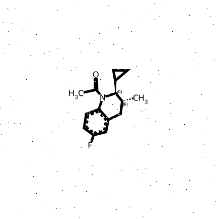 CC(=O)N1c2ccc(F)cc2C[C@@H](C)[C@@H]1C1CC1